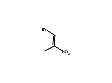 CC(=CC(C)C)[N+](=O)[O-]